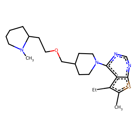 CCc1c(C)sc2ncnc(N3CCC(COCCC4CCCCN4C)CC3)c12